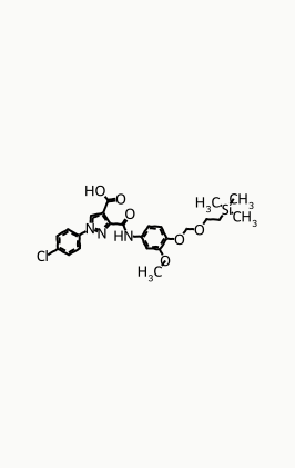 COc1cc(NC(=O)c2nn(-c3ccc(Cl)cc3)cc2C(=O)O)ccc1OCOCC[Si](C)(C)C